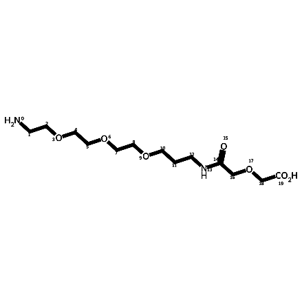 NCCOCCOCCOCCCNC(=O)COCC(=O)O